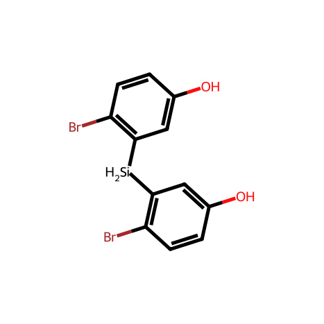 Oc1ccc(Br)c([SiH2]c2cc(O)ccc2Br)c1